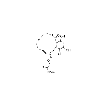 CNC(=O)CO/N=C1\C=C\CC/C=C/CCOC(=O)c2c(O)cc(O)c(Cl)c2C1